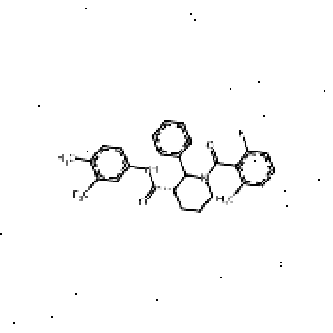 Cc1ccc(NC(=O)[C@H]2CCCN(C(=O)c3c(C)cccc3F)C2c2ccccc2)cc1C(F)(F)F